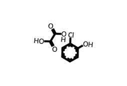 O=C(O)C(=O)O.Oc1ccccc1Cl